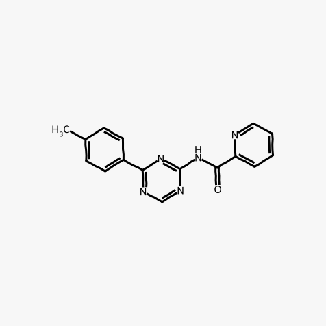 Cc1ccc(-c2ncnc(NC(=O)c3ccccn3)n2)cc1